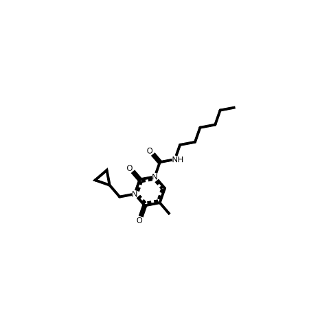 CCCCCCNC(=O)n1cc(C)c(=O)n(CC2CC2)c1=O